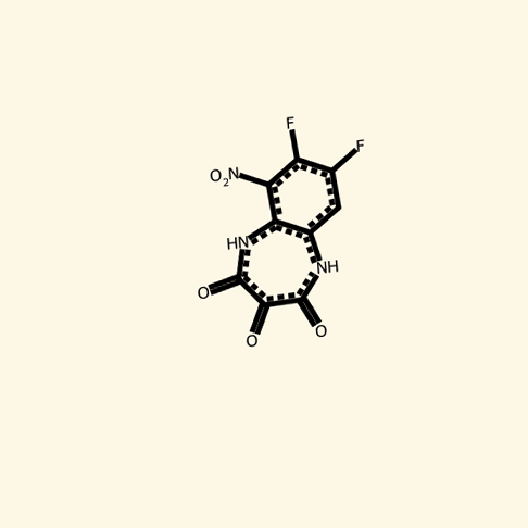 O=c1[nH]c2cc(F)c(F)c([N+](=O)[O-])c2[nH]c(=O)c1=O